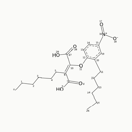 CCCCCCC(C(=O)O)=C(Oc1ccc([N+](=O)[O-])cc1CCCCCC)C(=O)O